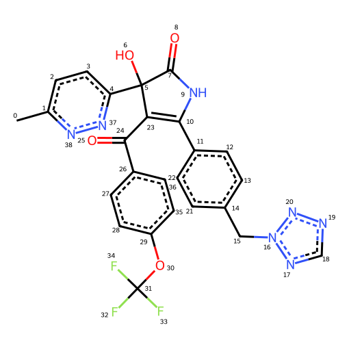 Cc1ccc(C2(O)C(=O)NC(c3ccc(Cn4ncnn4)cc3)=C2C(=O)c2ccc(OC(F)(F)F)cc2)nn1